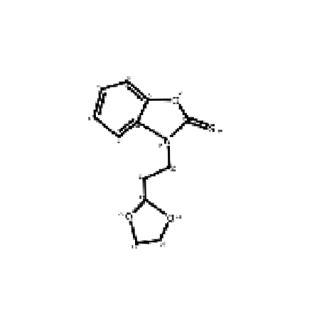 S=c1oc2ccccc2n1CCC1OCCO1